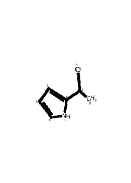 CC([O])c1ccc[nH]1